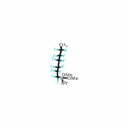 CCC[Si](OC)(OC)C(F)(F)C(F)(F)C(F)(F)C(F)(F)C(F)(F)C(C)(F)F